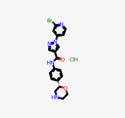 Cl.O=C(Nc1ccc([C@H]2CNCCO2)cc1)c1cnn(-c2ccnc(Br)c2)c1